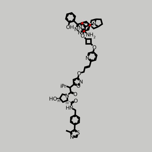 Cc1ncsc1-c1ccc(CNC(=O)[C@@H]2C[C@@H](O)CN2C(=O)C(c2cc(OCC=Cc3ccc(OC4CC(Oc5cc(N6C7CCC6CN(c6cc(-c8ccccc8O)nnc6N)C7)ccn5)C4)cn3)no2)C(C)C)cc1